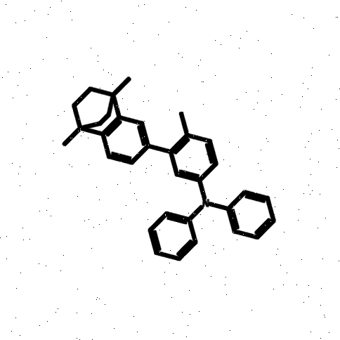 Cc1ccc(N(c2ccccc2)c2ccccc2)cc1-c1ccc2c(c1)C1(C)CCC2(C)CC1